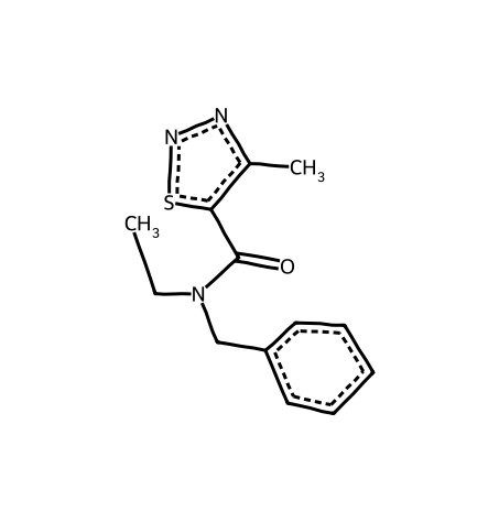 CCN(Cc1ccccc1)C(=O)c1snnc1C